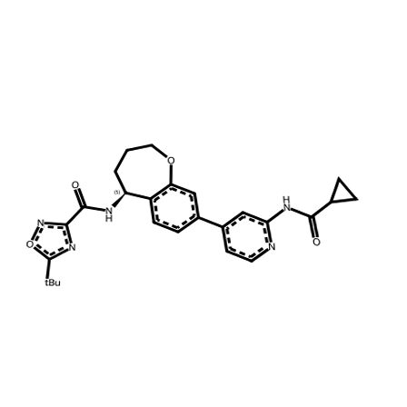 CC(C)(C)c1nc(C(=O)N[C@H]2CCCOc3cc(-c4ccnc(NC(=O)C5CC5)c4)ccc32)no1